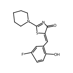 O=C1N=C(N2CCCCC2)SC1=Cc1cc(F)ccc1O